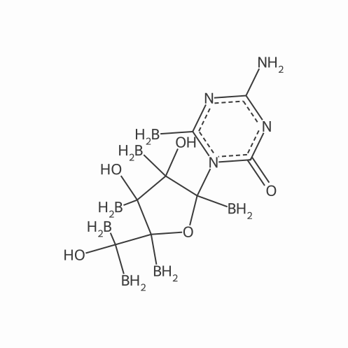 Bc1nc(N)nc(=O)n1C1(B)OC(B)(C(B)(B)O)C(B)(O)C1(B)O